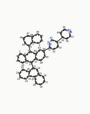 c1ccc2c(-c3c4ccccc4c(-c4cc5ccccc5c5ccccc45)c4ccc(-c5ccc(-c6ccncc6)cn5)cc34)cccc2c1